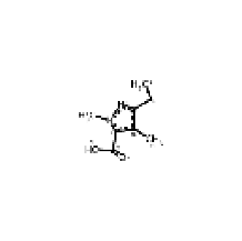 CCc1nn(C)c(C(=O)O)c1C